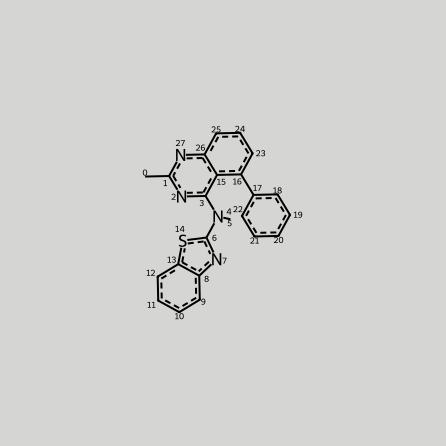 Cc1nc(N(C)c2nc3ccccc3s2)c2c(-c3ccccc3)cccc2n1